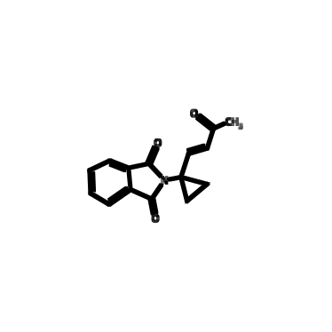 CC(=O)/C=C/C1(N2C(=O)c3ccccc3C2=O)CC1